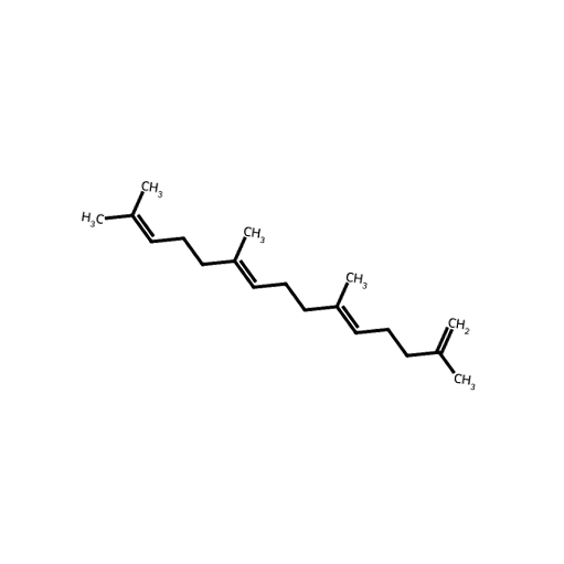 C=C(C)CC/C=C(\C)CC/C=C(\C)CCC=C(C)C